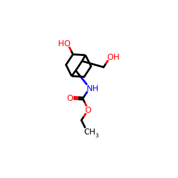 CCOC(=O)NC1C2CCC(C(O)C2)C1CO